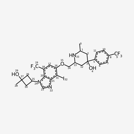 CC1CC(O)(c2ccc(C(F)(F)F)cc2)CC(COc2cc(C(F)(F)F)c3c(ncn3C3CC(C)(O)C3)c2I)N1